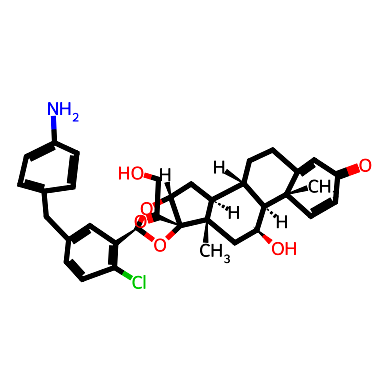 C[C@]12C=CC(=O)C=C1CC[C@@H]1[C@@H]2[C@@H](O)C[C@@]2(C)[C@H]1C[C@H]1O[C@H](c3cc(Cc4ccc(N)cc4)ccc3Cl)O[C@]12C(=O)CO